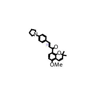 COc1ccc(C(=O)/C=C/c2ccc(N3CCCC3)cc2)c2c1C=CC(C)(C)O2